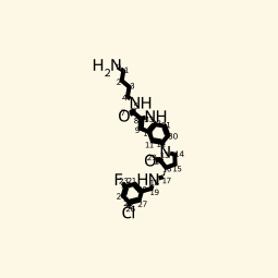 NCCCCNC(=O)c1cc2cc(N3CC[C@H](CNCc4cc(F)cc(Cl)c4)C3=O)ccc2[nH]1